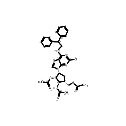 CC(=O)OC[C@H]1C[C@@H](n2cnc3c(NCC(c4ccccc4)c4ccccc4)nc(Cl)nc32)[C@H](OC(C)=O)[C@@H]1OC(C)=O